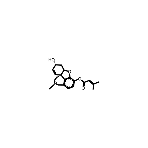 CC(C)=CC(=O)Oc1ccc2c3c1OC1C[C@@H](O)C=C[C@@]31CCN(C)C2